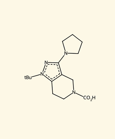 CC(C)(C)n1nc(N2CCCC2)c2c1CCN(C(=O)O)C2